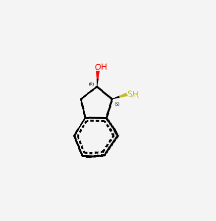 O[C@@H]1Cc2ccccc2[C@@H]1S